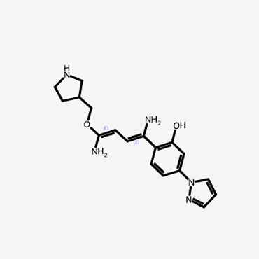 N/C(=C\C=C(/N)OCC1CCNC1)c1ccc(-n2cccn2)cc1O